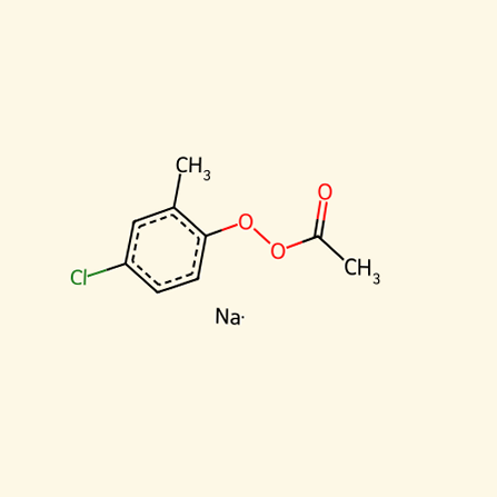 CC(=O)OOc1ccc(Cl)cc1C.[Na]